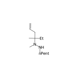 C=CCC(C)(CC)N(C)NCCCCC